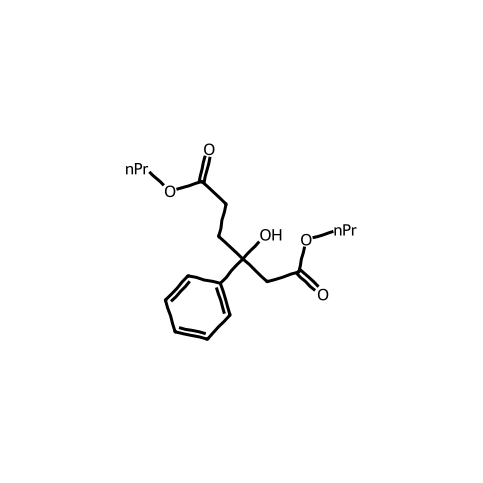 CCCOC(=O)CCC(O)(CC(=O)OCCC)c1ccccc1